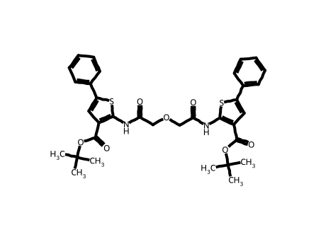 CC(C)(C)OC(=O)c1cc(-c2ccccc2)sc1NC(=O)COCC(=O)Nc1sc(-c2ccccc2)cc1C(=O)OC(C)(C)C